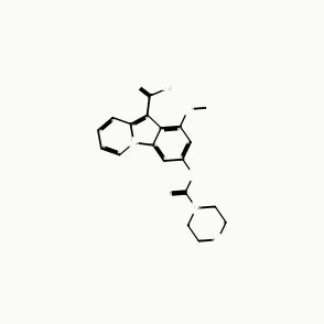 COc1cc(OC(=O)N2CCOCC2)cc2c1c(C(N)=O)c1ccccn12